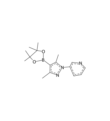 Cc1nn(-c2cccnc2)c(C)c1B1OC(C)(C)C(C)(C)O1